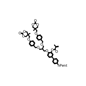 C=C(C)C(=O)Oc1cc(-c2ccc(CCCCC)cc2)ccc1OCC(COCc1ccc(OCC2(C)COC(=O)OC2)cc1)COCc1ccc(OCC2(C)COC(=O)OC2)cc1